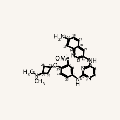 COc1cc(Nc2nccc(Nc3cnc4cc(N)ccc4c3)n2)ccc1OC1CC(N(C)C)C1